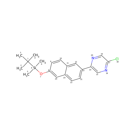 CC(C)(C)[Si](C)(C)Oc1ccc2cc(-c3cnc(Cl)cn3)ccc2c1